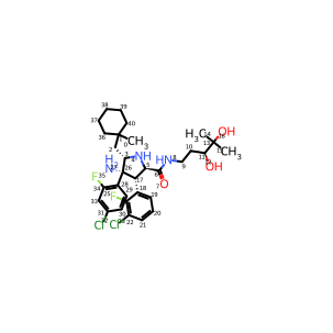 CC1(C[C@@H]2N[C@@H](C(=O)NCC[C@H](O)C(C)(C)O)[C@H](c3cccc(Cl)c3F)[C@@]2(N)c2ccc(Cl)cc2F)CCCCC1